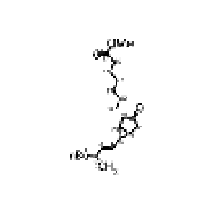 CCCCC(C)/C=C/C1C2CC(=O)[C@@H](CCCCCCC(=O)OC)C12